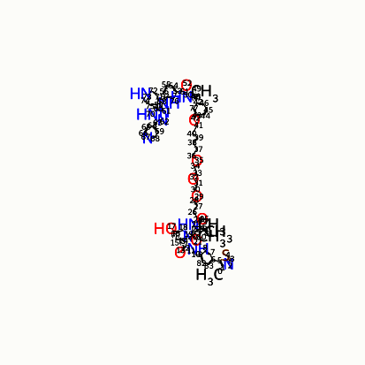 Cc1ncsc1-c1ccc(CNC(=O)[C@@H]2C[C@@H](O)CN2C(=O)[C@@H](NC(=O)CCCOCCOCCOCCCCCCOc2cccc([C@@H](C)NC(=O)c3cccc(NC4(c5nnc(-c6ccncc6)[nH]5)CCNCC4)c3)c2)C(C)(C)C)cc1